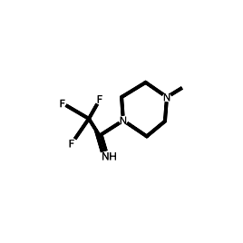 CN1CCN(C(=N)C(F)(F)F)CC1